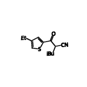 CCc1csc(C(=O)C(C#N)C(C)CC)c1